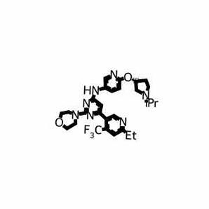 CCc1cc(C(F)(F)F)c(-c2cc(Nc3ccc(O[C@H]4CCN(C(C)C)C4)nc3)nc(N3CCOCC3)n2)cn1